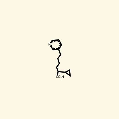 O=C(O)C(CCCCc1cccnc1)C1CC1